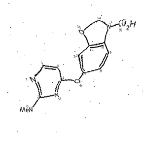 CNc1nccc(Oc2ccc3c(c2)OCN3C(=O)O)n1